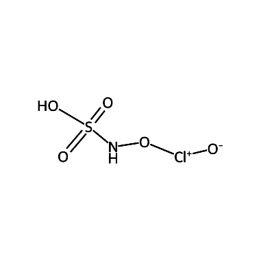 O=S(=O)(O)NO[Cl+][O-]